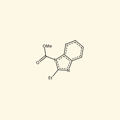 CCc1nc2ccccc2n1C(=O)OC